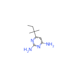 CCC(C)(C)c1cc(N)nc(N)n1